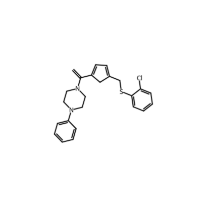 C=C(C1=CC=C(CSc2ccccc2Cl)C1)N1CCN(c2ccccc2)CC1